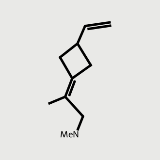 C=CC1CC(=C(C)CNC)C1